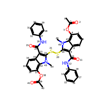 CC(=O)Oc1cccc2c(C(=O)Nc3ccccc3)c(SSc3c(C(=O)Nc4ccccc4)c4cccc(OC(C)=O)c4n3C)n(C)c12